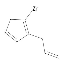 C=CCC1=[C]([Zr])CC=C1